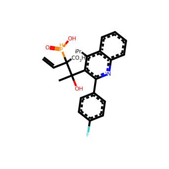 C=CC(C(=O)O)([PH](=O)O)C(C)(O)c1c(-c2ccc(F)cc2)nc2ccccc2c1C(C)C